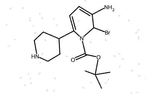 CC(C)(C)OC(=O)N1C(C2CCNCC2)=CC=C(N)C1Br